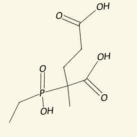 CCP(=O)(O)C(C)(CCC(=O)O)C(=O)O